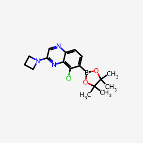 CC1(C)OB(c2ccc3ncc(N4CCC4)nc3c2Cl)OC1(C)C